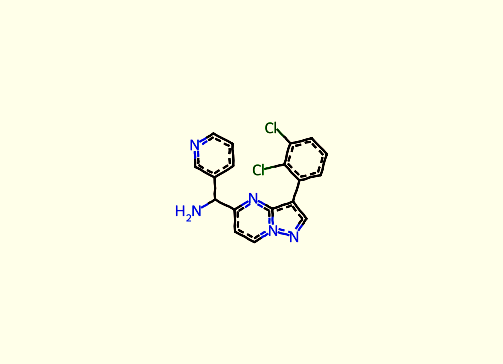 NC(c1cccnc1)c1ccn2ncc(-c3cccc(Cl)c3Cl)c2n1